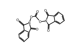 O=C(ON1C(=O)c2ccccc2C1=O)ON1C(=O)c2ccccc2C1=O